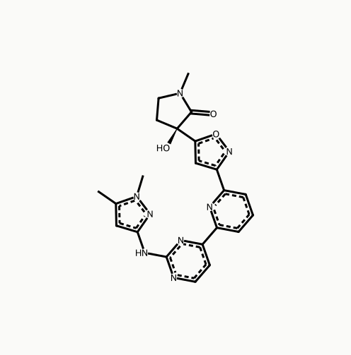 Cc1cc(Nc2nccc(-c3cccc(-c4cc([C@]5(O)CCN(C)C5=O)on4)n3)n2)nn1C